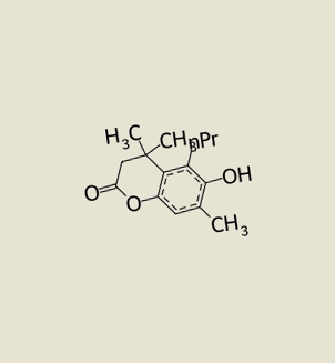 CCCc1c(O)c(C)cc2c1C(C)(C)CC(=O)O2